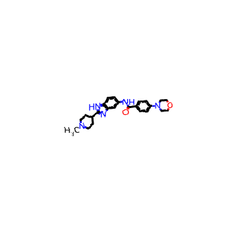 CN1CCC(c2nc3cc(NC(=O)c4ccc(N5CCOCC5)cc4)ccc3[nH]2)CC1